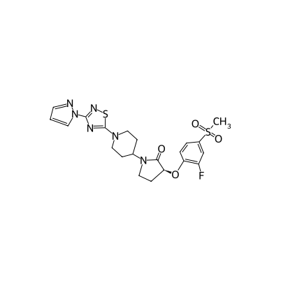 CS(=O)(=O)c1ccc(O[C@H]2CCN(C3CCN(c4nc(-n5cccn5)ns4)CC3)C2=O)c(F)c1